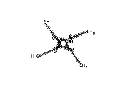 CCCCCCCCCCCCCC(=O)OCC(O)CN1CCCN(CC(O)COC(=O)CCCCCCCCCCCCC)CCN(CC(O)COC(=O)CCCCCCCCCCCCC)CCCN(CC(O)COC(=O)CCCCCCCCCCCCC)CC1